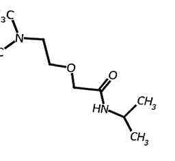 CC(C)NC(=O)COCCN(C)C